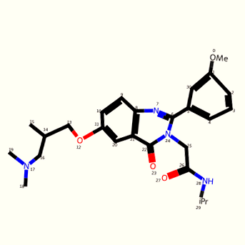 COc1cccc(-c2nc3ccc(OCC(C)CN(C)C)cc3c(=O)n2CC(=O)NC(C)C)c1